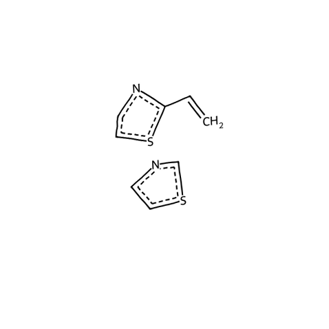 C=Cc1nccs1.c1cscn1